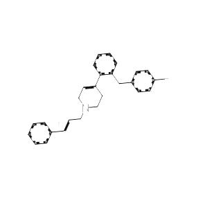 Fc1ccc(Cc2ccccc2C2=CCN(C/C=C/c3ccccc3)CC2)cc1